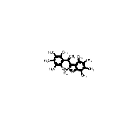 C=C(c1c(C)c(C)c(C)c(C)c1C)c1c2c(C)c(C)c(C)c(C)c2nn1C